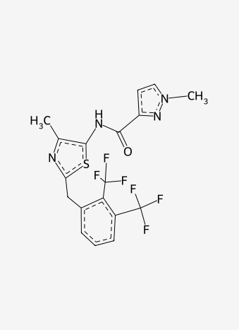 Cc1nc(Cc2cccc(C(F)(F)F)c2C(F)(F)F)sc1NC(=O)c1ccn(C)n1